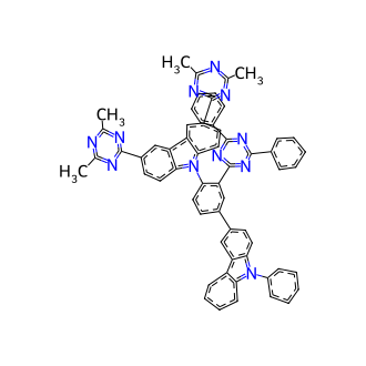 Cc1nc(C)nc(-c2ccc3c(c2)c2cc(-c4nc(C)nc(C)n4)ccc2n3-c2ccc(-c3ccc4c(c3)c3ccccc3n4-c3ccccc3)cc2-c2nc(-c3ccccc3)nc(-c3ccccc3)n2)n1